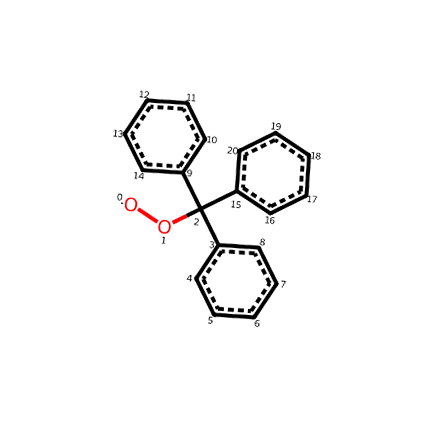 [O]OC(c1ccccc1)(c1ccccc1)c1ccccc1